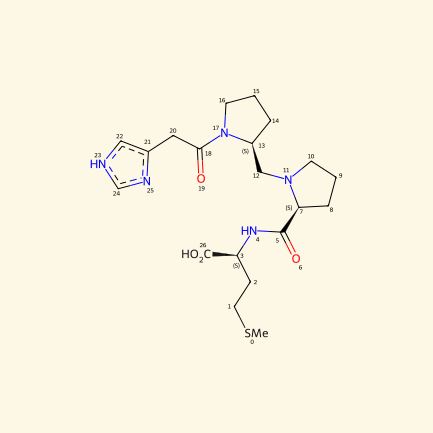 CSCC[C@H](NC(=O)[C@@H]1CCCN1C[C@@H]1CCCN1C(=O)Cc1c[nH]cn1)C(=O)O